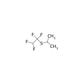 C[C](C)SC(F)(F)C(F)F